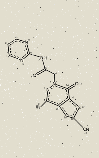 CC(C)c1nn(CC(=O)Nc2ncccn2)c(=O)c2sc(C#N)cc12